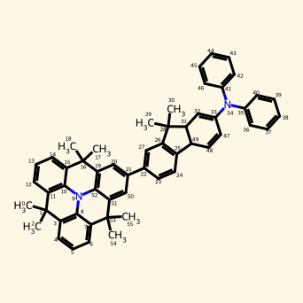 CC1(C)c2cccc3c2N2c4c1cccc4C(C)(C)c1cc(-c4ccc5c(c4)C(C)(C)C4C=C(N(c6ccccc6)c6ccccc6)C=CC54)cc(c12)C3(C)C